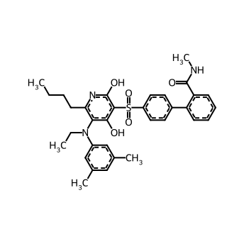 CCCCc1nc(O)c(S(=O)(=O)c2ccc(-c3ccccc3C(=O)NC)cc2)c(O)c1N(CC)c1cc(C)cc(C)c1